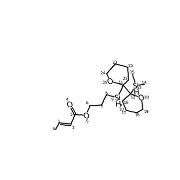 CC=CC(=O)OCCC[SiH](C)C1(C2([SiH](C)C)CCCCO2)CCCCO1